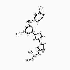 Cc1cc(Nc2nccc(C(F)(F)F)n2)cc(-c2cnc(-c3cnn(C[C@@H](O)CO)c3)s2)c1